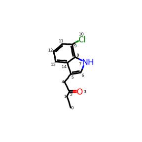 CCC(=O)Cc1c[nH]c2c(Cl)cccc12